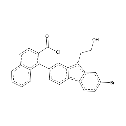 O=C(Cl)c1ccc2ccccc2c1-c1ccc2c3ccc(Br)cc3n(CCO)c2c1